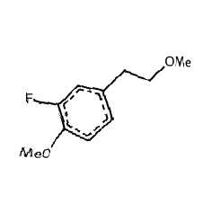 COCCc1ccc(OC)c(F)c1